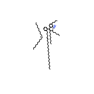 CCCCCCCCCCCCCCCCCCC=CCCCc1ccccc1C(=C(CCCCCCCC)C(=C=[N+]=[N-])CCCCC)c1ccc(CCCC)cc1.CCCCCCCC[CH2][Ni][CH2]CCCCCCCC